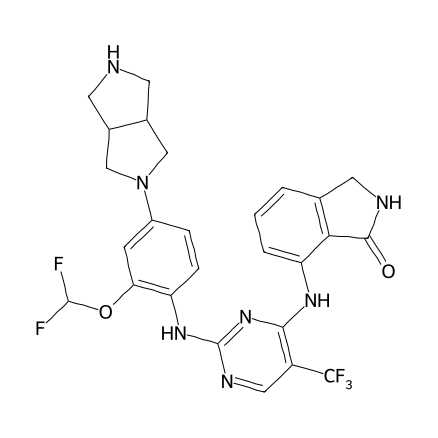 O=C1NCc2cccc(Nc3nc(Nc4ccc(N5CC6CNCC6C5)cc4OC(F)F)ncc3C(F)(F)F)c21